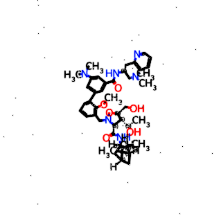 COc1c(CN2O[C@@H](CO)[C@H]([C@H](C)O)[C@H]2C(=O)N[C@H]2C[C@H]3C[C@@H]([C@@H]2C)C3(C)C)cccc1-c1cc(C(=O)N[C@@H](Cc2ccccn2)CN(C)C)cc(N(C)C)c1